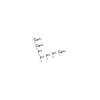 [Ge+4].[Ge+4].[Ge+4].[P-3].[P-3].[P-3].[P-3]